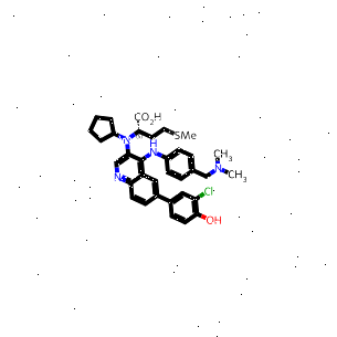 CSCC[C@@H](C(=O)O)N(c1cnc2ccc(-c3ccc(O)c(Cl)c3)cc2c1Nc1ccc(CN(C)C)cc1)C1CCCC1